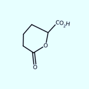 O=C1CCCC(C(=O)O)O1